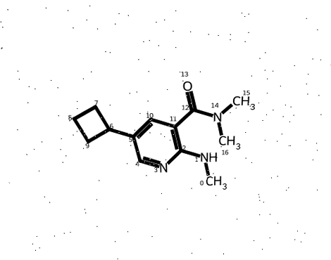 CNc1ncc(C2CCC2)cc1C(=O)N(C)C